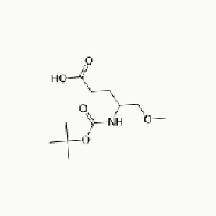 COCC(CCC(=O)O)NC(=O)OC(C)(C)C